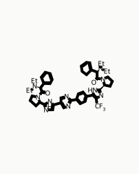 CCN(CC)[C@@H](C(=O)N1CCC[C@H]1c1nc(C(F)(F)F)c(-c2ccc(-c3ncc(-c4cnc(C5CCCN5C(=O)[C@@H](c5ccccc5)N(CC)CC)[nH]4)cn3)cc2)[nH]1)C1=CC=CCC1